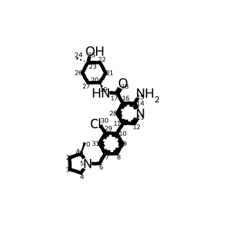 C[C@@H]1CCCN1Cc1ccc(-c2cnc(N)c(C(=O)N[C@H]3CC[C@](C)(O)CC3)c2)c(Cl)c1